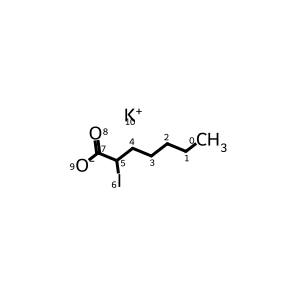 CCCCCC(I)C(=O)[O-].[K+]